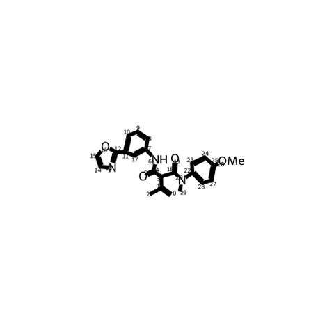 C=C(C)C(C(=O)Nc1cccc(-c2ncco2)c1)C(=O)N(C)c1ccc(OC)cc1